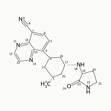 C[C@@H]1CC(c2ccc(C#N)c3nccnc23)C[C@H](NC2CCNC2=O)C1